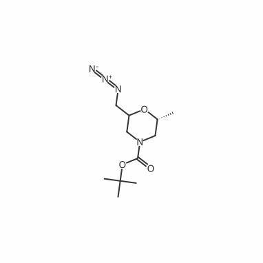 C[C@@H]1CN(C(=O)OC(C)(C)C)CC(CN=[N+]=[N-])O1